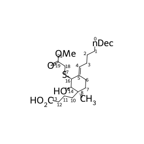 CCCCCCCCCCCCCC=C1CC[C@@](C)(CCCC(=O)O)[C@@H](O)[C@H]1SCC(=O)OC